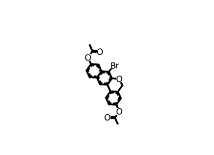 CC(=O)Oc1ccc2c(c1)COc1c-2cc2ccc(OC(C)=O)cc2c1Br